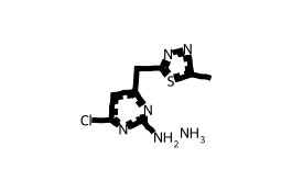 Cc1nnc(Cc2cc(Cl)nc(N)n2)s1.N